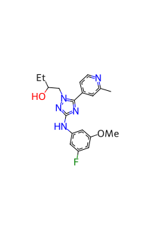 CCC(O)Cn1nc(Nc2cc(F)cc(OC)c2)nc1-c1ccnc(C)c1